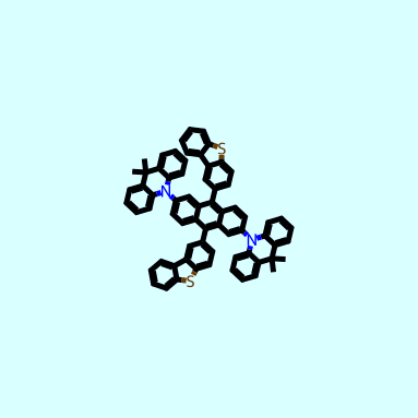 CC1(C)c2ccccc2N(c2ccc3c(-c4ccc5sc6ccccc6c5c4)c4cc(N5c6ccccc6C(C)(C)c6ccccc65)ccc4c(-c4ccc5sc6ccccc6c5c4)c3c2)c2ccccc21